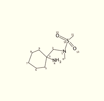 CN(CC1(N)CCCCC1)S(C)(=O)=O